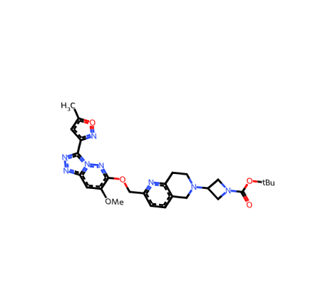 COc1cc2nnc(-c3cc(C)on3)n2nc1OCc1ccc2c(n1)CCN(C1CN(C(=O)OC(C)(C)C)C1)C2